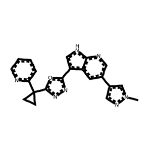 Cn1cc(-c2cnc3[nH]cc(-c4nnc(C5(c6ccccn6)CC5)o4)c3c2)cn1